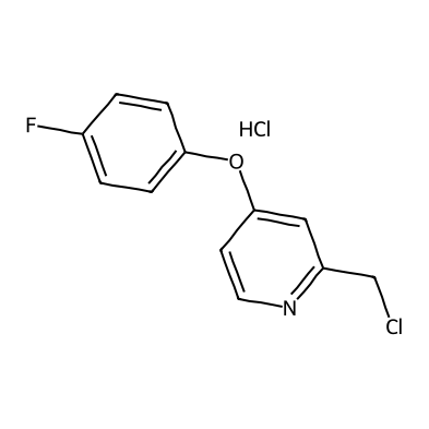 Cl.Fc1ccc(Oc2ccnc(CCl)c2)cc1